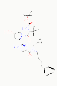 CC(C)(C)OC(=O)N[C@H](C(=O)N1C[C@H](O)C[C@H]1c1nc(C(=O)N(CCCCc2ccccc2)CC2CC2)c[nH]1)C(C)(C)C